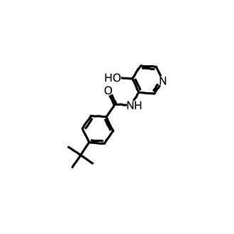 CC(C)(C)c1ccc(C(=O)Nc2cnccc2O)cc1